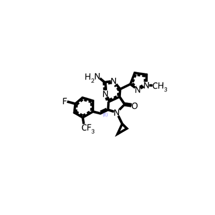 Cn1ccc(-c2nc(N)nc3c2C(=O)N(C2CC2)/C3=C/c2ccc(F)cc2C(F)(F)F)n1